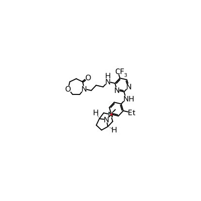 CCc1cc(N2[C@@H]3CC[C@H]2CN(C)C3)ccc1Nc1ncc(C(F)(F)F)c(NCCCN2CCOCCC2=O)n1